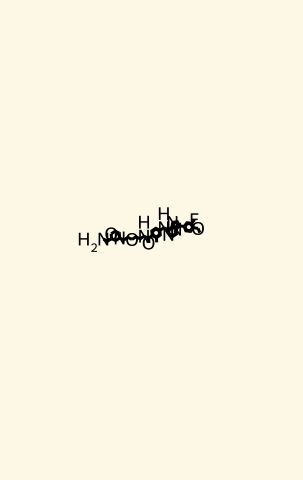 COc1ccc(-c2cnc3c(Nc4ccc(C(=O)NCCOCCN5CCOC(CN)C5)c(C)c4)nccn23)cc1F